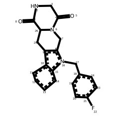 O=C1NCC(=O)N2Cc3c(c4ccccc4n3Cc3ccc(F)cc3)CC12